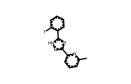 Cc1cccc(-c2n[nH]c(-c3ccccc3F)n2)n1